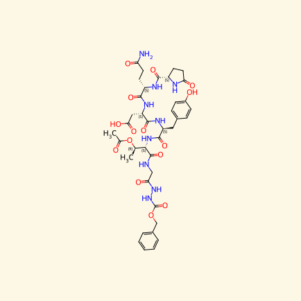 CC(=O)O[C@H](C)[C@H](NC(=O)[C@H](Cc1ccc(O)cc1)NC(=O)[C@H](CC(=O)O)NC(=O)[C@H](CCC(N)=O)NC(=O)[C@@H]1CCC(=O)N1)C(=O)NCC(=O)NNC(=O)OCc1ccccc1